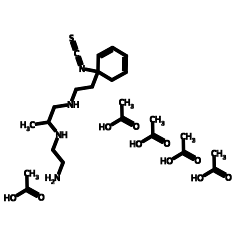 CC(=O)O.CC(=O)O.CC(=O)O.CC(=O)O.CC(=O)O.CC(CNCCC1(N=C=S)C=CC=CC1)NCCN